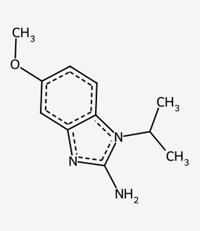 COc1ccc2c(c1)nc(N)n2C(C)C